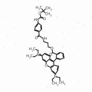 CCN(CC)c1ccc2c(-c3ccccc3C(=O)OCCCNC(=O)c3ccc(NC(=O)OC(C)(C)C)cc3)c3ccc(=[N+](CC)CC)cc-3oc2c1